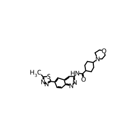 Cc1nnc(-c2ccc3nnc(NC(=O)C4CCC(N5CCOCC5)CC4)cc3c2)s1